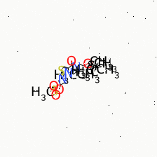 CC(C)N(CCO[Si](C)(C)C(C)(C)C)C(=O)c1csc(N2CC(OS(C)(=O)=O)C2)n1